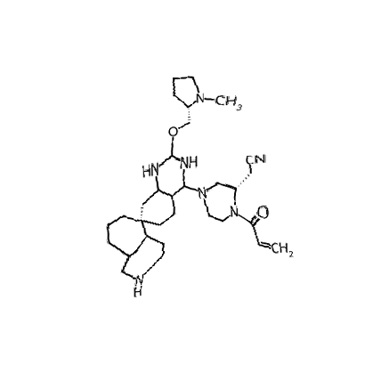 C=CC(=O)N1CCN(C2NC(OC[C@@H]3CCCN3C)NC3C[C@]4(CCCC5CNCCC54)CCC32)C[C@@H]1CC#N